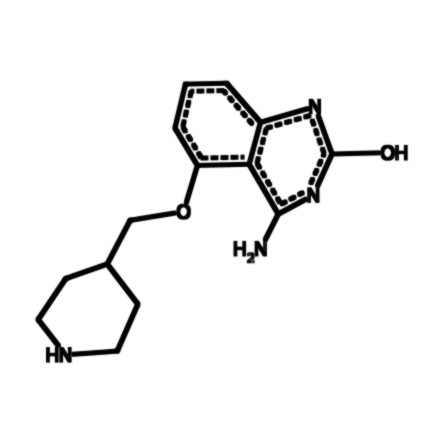 Nc1nc(O)nc2cccc(OCC3CCNCC3)c12